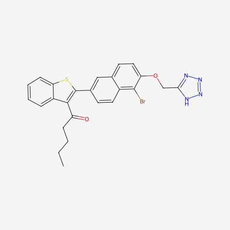 CCCCC(=O)c1c(-c2ccc3c(Br)c(OCc4nnn[nH]4)ccc3c2)sc2ccccc12